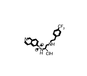 C[C@H](CNCCc1ccc(C(F)(F)F)cc1)NS(=O)(=O)c1ccc2cnccc2c1.Cl